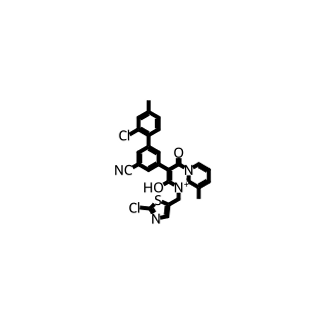 Cc1ccc(-c2cc(C#N)cc(-c3c(O)[n+](Cc4cnc(Cl)s4)c4c(C)cccn4c3=O)c2)c(Cl)c1